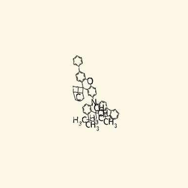 CC1(C)CCC(C)(C)c2c(N(c3ccc4c(c3)C(C)(C)c3ccccc3-4)c3ccc4c(c3)C3(c5ccc(-c6ccccc6)cc5O4)C4CC5CC6CC3C64C5)cccc21